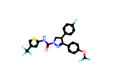 O=C(Nc1cc(C(F)(F)F)cs1)N1CC(c2ccc(F)cc2)C(c2ccc(OC(F)F)cc2)=N1